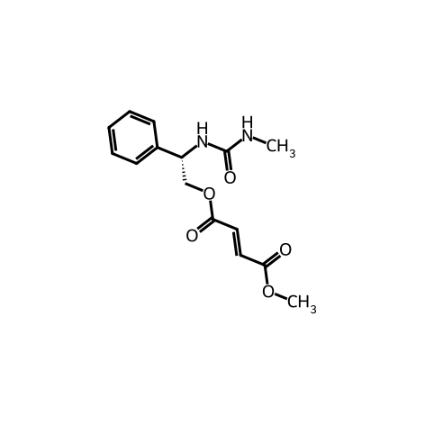 CNC(=O)N[C@H](COC(=O)/C=C/C(=O)OC)c1ccccc1